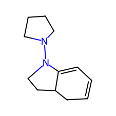 C1=CCC2CCN(N3CCCC3)C2=C1